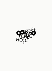 [CH2]Cc1ccccc1C(=O)N(C(=O)[C@@H](N)CC(=O)O)S(=O)(=O)c1ccc2ccccc2c1